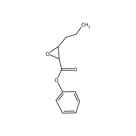 CCCC1OC1C(=O)Oc1ccccc1